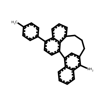 Cc1ccc(-c2ccc3c4c(cccc24)CCCc2cc-3c3ccccc3c2N)cc1